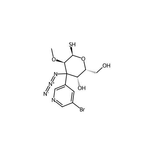 CO[C@H]1[C@@H](S)O[C@H](CO)[C@H](O)C1(N=[N+]=[N-])c1cncc(Br)c1